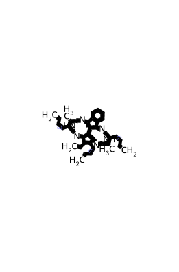 C=C/C=C\C1=C(C=C)c2nc3[nH]c(nc4c5c(nc6[nH]c(nc1c25)c(C)c6/C=C\C=C)-c1ccccc1-4)c(C)c3/C=C\C=C